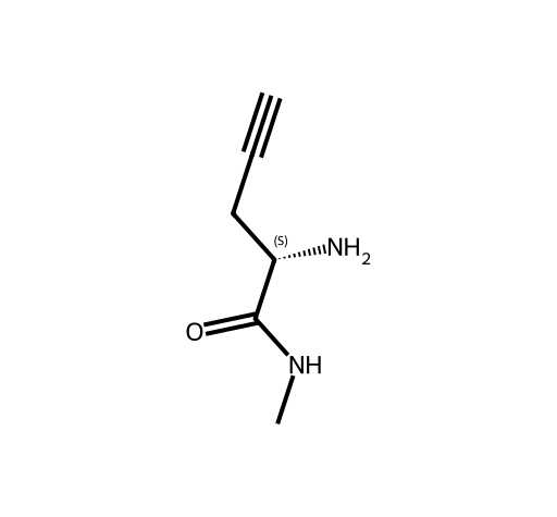 C#CC[C@H](N)C(=O)NC